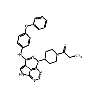 CCC(=O)N1CCC(N2N=C(Nc3ccc(Oc4ccccc4)cc3)c3c[nH]c4ncnc2c34)CC1